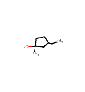 CC1CC[C@](C)(O)C1